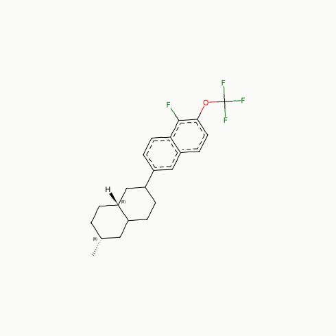 C[C@@H]1CC[C@@H]2CC(c3ccc4c(F)c(OC(F)(F)F)ccc4c3)CCC2C1